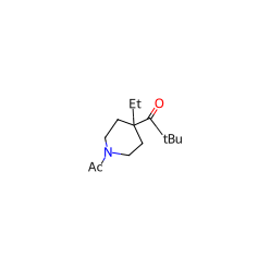 CCC1(C(=O)C(C)(C)C)CCN(C(C)=O)CC1